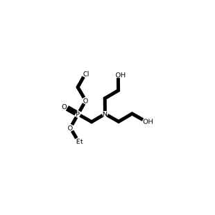 CCOP(=O)(CN(CCO)CCO)OCCl